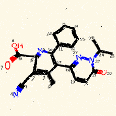 Cc1c(C#N)c(C(=O)O)nc(-c2ccccc2)c1-c1ccc(=O)n(C(C)C)n1